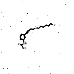 NC(=O)Nc1cccc(C#CCCOCCCCCCBr)c1